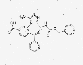 Cc1nnc2n1-c1cc(C(=O)O)ccc1C(c1ccccc1)=NC2NC(=O)OCc1ccccc1